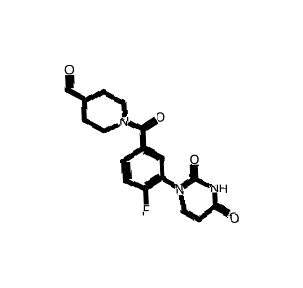 O=CC1CCN(C(=O)c2ccc(F)c(N3CCC(=O)NC3=O)c2)CC1